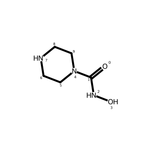 O=C(NO)N1CCNCC1